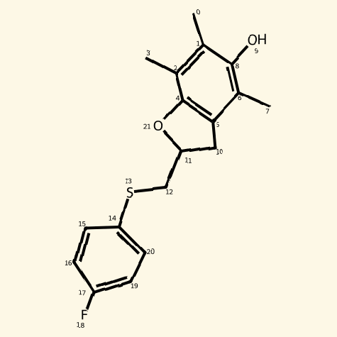 Cc1c(C)c2c(c(C)c1O)CC(CSc1ccc(F)cc1)O2